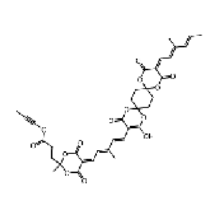 CC#COC(=O)CCC1(C)OC(=O)C(=C/C=C(C)/C=C/C2=C(O)OC3(CCC4(CC3)OC(=O)C(=C/C=C(C)/C=C/C)C(=O)O4)OC2=O)C(=O)O1